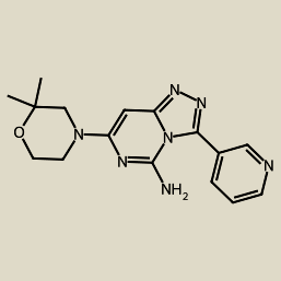 CC1(C)CN(c2cc3nnc(-c4cccnc4)n3c(N)n2)CCO1